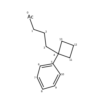 CC(=O)CCCC1(c2ccccc2)CCC1